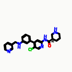 O=C(Nc1cc(-c2cccc(NCc3cccnc3)c2)c(Cl)cn1)[C@@H]1CCCNC1